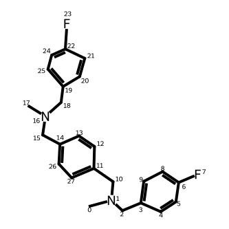 CN(Cc1ccc(F)cc1)Cc1ccc(CN(C)Cc2ccc(F)cc2)cc1